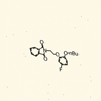 CCCCOc1ccc(F)cc1OCCN1C(=O)c2ccccc2C1=O